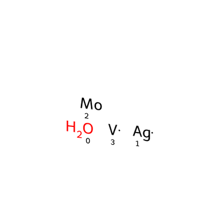 O.[Ag].[Mo].[V]